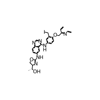 C=C/N=C(\C=C)COc1ccc(Nc2ncnc3ccc(NC4=NC([C@@H](C)O)CO4)cc23)cc1CI